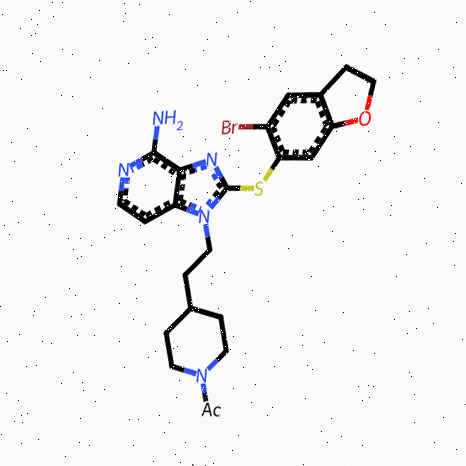 CC(=O)N1CCC(CCn2c(Sc3cc4c(cc3Br)CCO4)nc3c(N)nccc32)CC1